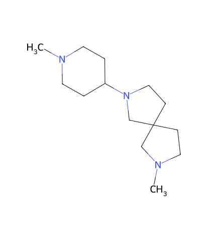 CN1CCC(N2CCC3(CCN(C)C3)C2)CC1